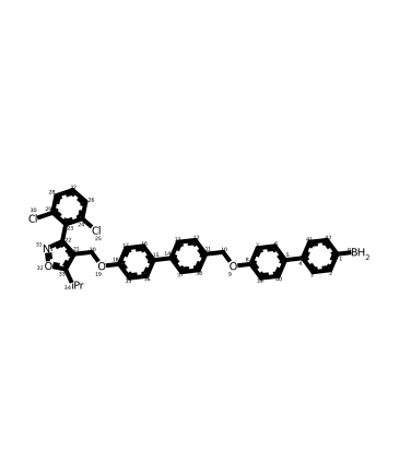 Bc1ccc(-c2ccc(OCc3ccc(-c4ccc(OCc5c(-c6c(Cl)cccc6Cl)noc5C(C)C)cc4)cc3)cc2)cc1